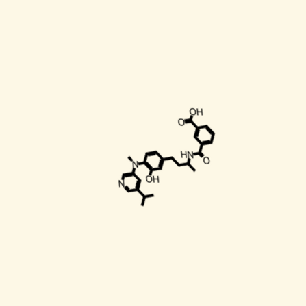 CC(CCc1ccc(N(C)c2cncc(C(C)C)c2)c(O)c1)NC(=O)c1cccc(C(=O)O)c1